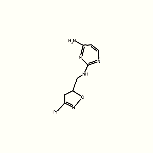 CC(C)C1=NOC(CNc2nccc(N)n2)C1